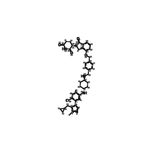 Cn1ncc(-c2nc(N[C@H]3CC[C@H](NCc4ccc(COc5cccc6c5CN([C@@H]5CCC(=O)NC5=O)C6=O)cc4)CC3)ncc2Cl)c1CC1CC1